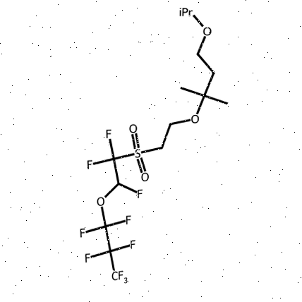 CC(C)OCCC(C)(C)OCCS(=O)(=O)C(F)(F)C(F)OC(F)(F)C(F)(F)C(F)(F)F